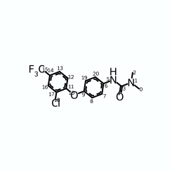 CN(C)C(=O)Nc1ccc(Oc2ccc(C(F)(F)F)cc2Cl)cc1